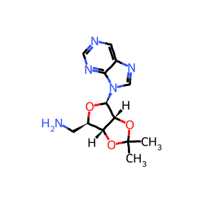 CC1(C)O[C@@H]2[C@H](O1)[C@@H](CN)O[C@H]2n1cnc2cncnc21